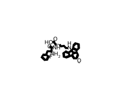 COc1ccc(C(NCCCC[C@H](NC(=O)[C@@H](N)Cc2ccccc2F)C(=O)O)(c2ccccc2)c2ccccc2)cc1